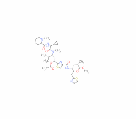 COC(=O)[C@@H](C)C[C@H](CCc1nccs1)NC(=O)c1csc([C@@H](C[C@H](C(C)C)N(C)C(=O)[C@@H](NC(=O)[C@H]2CCCCN2C)C2CC2)OC(C)=O)n1